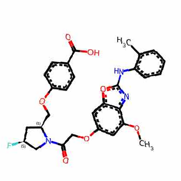 COc1cc(OCC(=O)N2C[C@@H](F)C[C@H]2COc2ccc(C(=O)O)cc2)cc2oc(Nc3ccccc3C)nc12